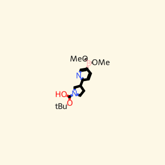 COB(OC)c1ccc(C2CCN(C(O)OC(C)(C)C)C2)nc1